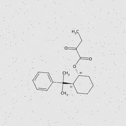 CCC(=O)C(=O)O[C@@H]1CCCC[C@H]1C(C)(C)c1ccccc1